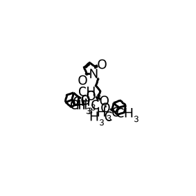 CC(CCCN1C(=O)C=CC1=O)(OOC1(C)CCC2CC1C2(C)C)OOC1(C)CCC2CC1C2(C)C